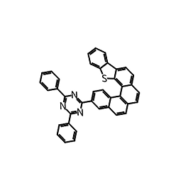 c1ccc(-c2nc(-c3ccccc3)nc(-c3ccc4c(ccc5ccc6ccc7c8ccccc8sc7c6c54)c3)n2)cc1